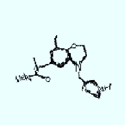 CNC(=O)N(C)c1cc(C)c2c(c1)N(Cc1c[nH]cn1)CCO2